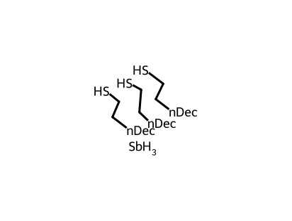 CCCCCCCCCCCCS.CCCCCCCCCCCCS.CCCCCCCCCCCCS.[SbH3]